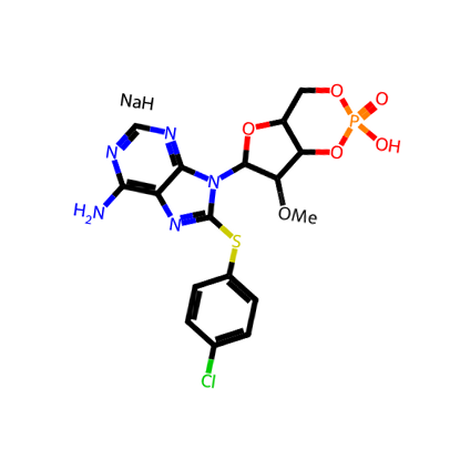 COC1C2OP(=O)(O)OCC2OC1n1c(Sc2ccc(Cl)cc2)nc2c(N)ncnc21.[NaH]